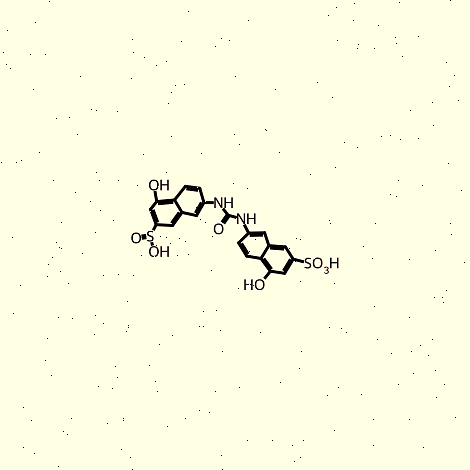 O=C(Nc1ccc2c(O)cc(S(=O)O)cc2c1)Nc1ccc2c(O)cc(S(=O)(=O)O)cc2c1